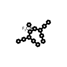 FC(F)(F)c1ccccc1-n1c2ccc(-c3cc(-c4ccc(-c5ccccc5)cc4)cc(-c4ccc(-c5ccccc5)cc4)c3)cc2c2cc(-c3cc(-c4ccc(-c5ccccc5)cc4)cc(-c4ccc(-c5ccccc5)cc4)c3)ccc21